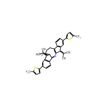 C/C1=C2/C(=C(C#N)C#N)c3cc(-c4ccc(C(F)(F)F)s4)ccc3/C2=N/C2=C(CC1)c1ccc(-c3ccc(C(F)(F)F)s3)cc1C2=C(C#N)C#N